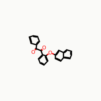 O=C(C(=O)c1ccccc1Oc1ccc2ccccc2c1)c1ccccc1